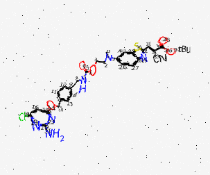 CN(CCOC(=O)NCc1ccc(COc2cc(Cl)nc(N)n2)cc1)c1ccc2nc(/C=C(\C#N)C(=O)OC(C)(C)C)sc2c1